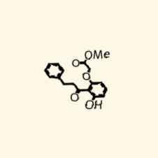 COC(=O)COc1cccc(O)c1C(=O)CCc1ccccc1